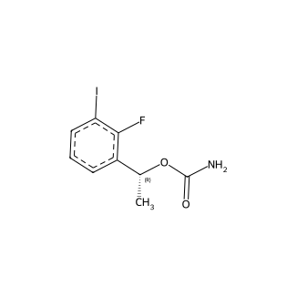 C[C@@H](OC(N)=O)c1cccc(I)c1F